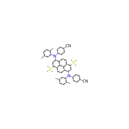 Cc1ccc(C)c(N(c2ccc(C#N)cc2)c2cc(S(C)(C)C)c3ccc4c(N(c5ccc(C#N)cc5)c5cc(C)ccc5C)cc(S(C)(C)C)c5ccc2c3c45)c1